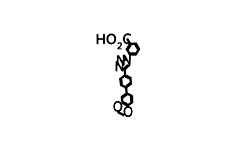 O=C(O)c1cccc(-n2cc(-c3ccc(-c4ccc5c(c4)OCCO5)cc3)nn2)c1